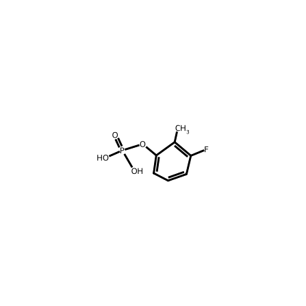 Cc1c(F)cccc1OP(=O)(O)O